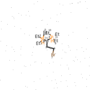 CC[PH](CC)(CC)[Pd]([CH2]CBr)[PH](CC)(CC)CC